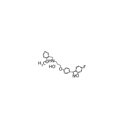 COc1ccccc1CNC[C@@H](O)COc1ccc(-c2noc3cc(F)ccc23)cc1